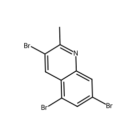 Cc1nc2cc(Br)cc(Br)c2cc1Br